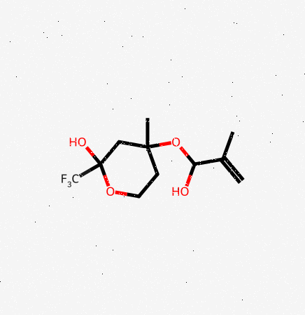 C=C(C)C(O)OC1(C)CCOC(O)(C(F)(F)F)C1